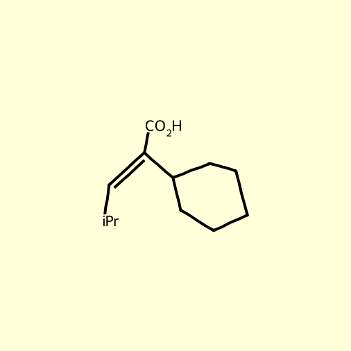 CC(C)/C=C(/C(=O)O)C1CCCCC1